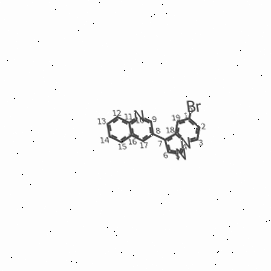 Brc1ccn2ncc(-c3cnc4ccccc4c3)c2c1